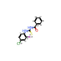 O=C(NC(=S)Nc1ccc(Cl)cc1I)c1ccccc1